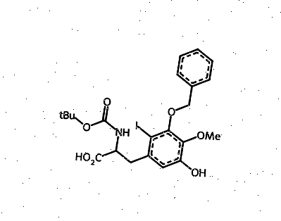 COc1c(O)cc(CC(NC(=O)OC(C)(C)C)C(=O)O)c(I)c1OCc1ccccc1